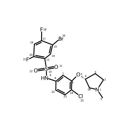 CN1CC[C@@H](Oc2cc(NS(=O)(=O)c3cc(Br)c(F)cc3F)ccc2Cl)C1